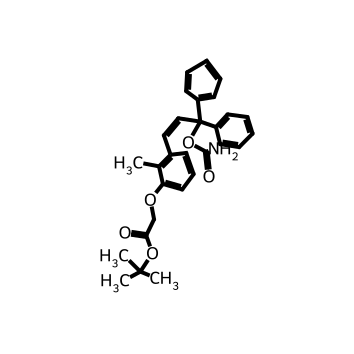 Cc1c(/C=C\C(OC(N)=O)(c2ccccc2)c2ccccc2)cccc1OCC(=O)OC(C)(C)C